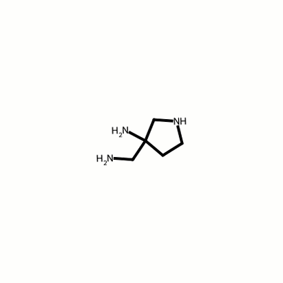 NCC1(N)CCNC1